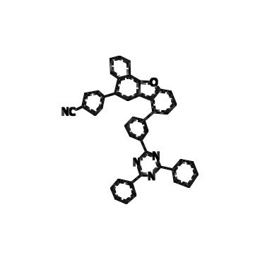 N#Cc1ccc(-c2cc3c(oc4cccc(-c5cccc(-c6nc(-c7ccccc7)nc(-c7ccccc7)n6)c5)c43)c3ccccc23)cc1